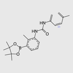 C=C(C)/C=C\C(=C)NC(=O)Nc1cccc(B2OC(C)(C)C(C)(C)O2)c1C